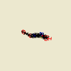 COCCCCCCOC1CCC(N2CCC(c3ccc(-c4nnc(-c5ccc(C(=O)O)cc5)s4)cc3)CC2)CC1